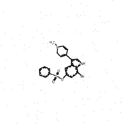 CN1C=CC(c2c[nH]c3c(Br)cc(OS(=O)(=O)c4ccccc4)cc23)=CC1